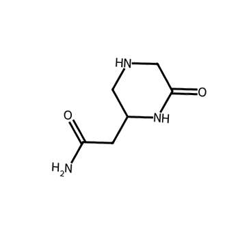 NC(=O)CC1CNCC(=O)N1